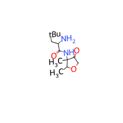 CC1OCC(=O)C1(C)NC(=O)C(N)CC(C)(C)C